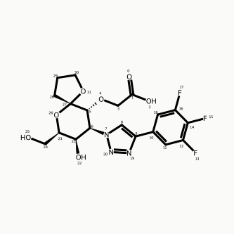 O=C(O)CO[C@@H]1[C@@H](n2cc(-c3cc(F)c(F)c(F)c3)nn2)[C@@H](O)[C@@H](CO)O[C@@]12CCCO2